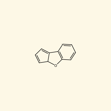 [c]1cccc2c1C1=CC=CC1O2